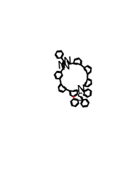 c1ccc(-c2nc3nc(n2)-c2cccc(c2)-c2cccc(c2)-c2ccc4c(c2)N(c2cccc(c2)-c2cccc(c2)-c2cccc-3c2)c2ccccc2S4(c2ccccc2)c2ccccc2)cc1